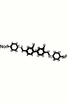 CCCCCCCCC[C@H]1CC[C@H](CCc2ccc(-c3ccc(CC[C@H]4CC[C@H](CCC)CC4)c(C)c3)c(C)c2)CC1